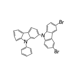 Brc1ccc2c(c1)c1cc(Br)ccc1n2-c1ccc2c3ccccc3n(-c3ccccc3)c2c1